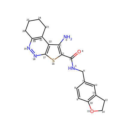 Nc1c(C(=O)NCc2ccc3c(c2)CCO3)sc2nnc3c(c12)CCCC3